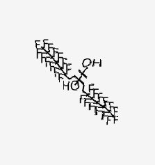 CC(C)(CO)C(O)(CCC(F)(F)C(F)(F)C(F)(F)C(F)(F)C(F)(F)C(F)(F)F)CCC(F)(F)C(F)(F)C(F)(F)C(F)(F)C(F)(F)C(F)(F)F